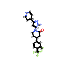 O=C1CC(c2ccc(C(F)(F)F)c(F)c2)CCN1c1cc(-c2ccncc2)n[nH]1